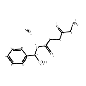 Br.NCC(=O)CCC(=O)OC(C(=O)O)c1ccccc1